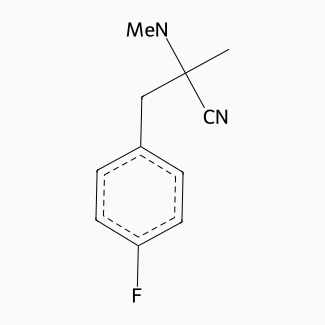 CNC(C)(C#N)Cc1ccc(F)cc1